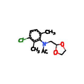 CC(=O)N(CC1OCCO1)c1c(C)ccc(Cl)c1C